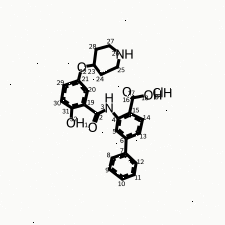 Cl.O=C(Nc1cc(-c2ccccc2)ccc1C(=O)O)c1cc(OC2CCNCC2)ccc1O